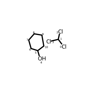 ClC(Cl)Cl.OC1CCCCC1